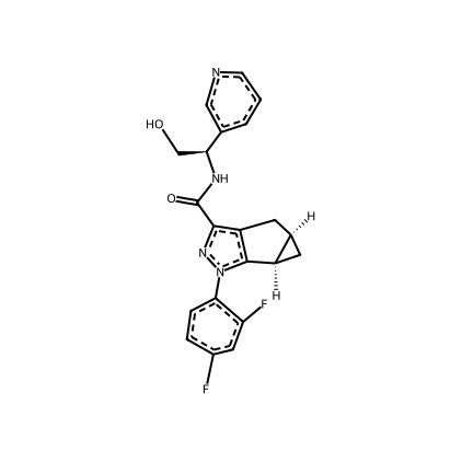 O=C(N[C@@H](CO)c1cccnc1)c1nn(-c2ccc(F)cc2F)c2c1C[C@H]1C[C@@H]21